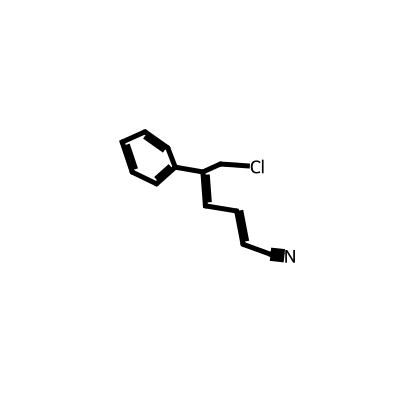 N#CC=CC=C(CCl)c1ccccc1